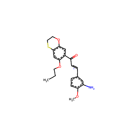 CCCOc1cc2c(cc1C(=O)/C=C/c1ccc(OC)c(N)c1)OCCS2